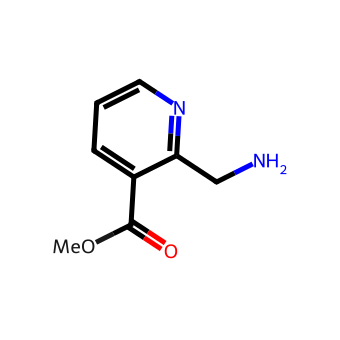 COC(=O)c1cccnc1CN